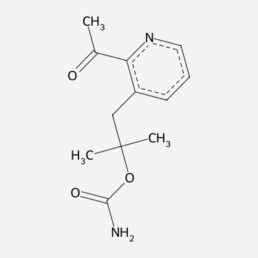 CC(=O)c1ncccc1CC(C)(C)OC(N)=O